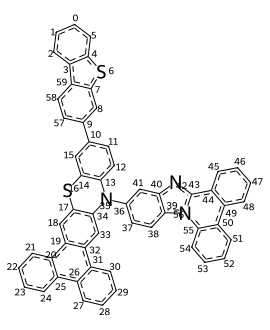 c1ccc2c(c1)sc1cc(-c3ccc4c(c3)Sc3cc5c6ccccc6c6ccccc6c5cc3N4c3ccc4c(c3)nc3c5ccccc5c5ccccc5n43)ccc12